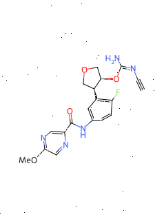 C#C/N=C(/N)O[C@@H]1COC[C@@H]1c1cc(NC(=O)c2cnc(OC)cn2)ccc1F